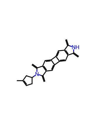 C=c1[nH]c(=C)c2cc3c(cc12)-c1cc2c(=C)n(C4CC=C(C)C4)c(=C)c2cc1-3